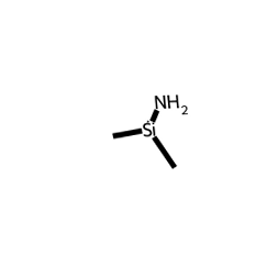 C[Si](C)N